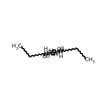 CCCCCCCC/C=C\CCCCCCCC(=O)NC(=O)O[C@H]1CC[C@H]2[C@@H]1CC[C@H]2OC(=O)NC(=O)CCCCCCC/C=C\CCCCCCCC